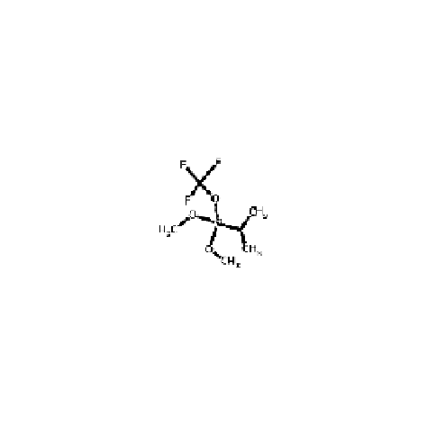 CO[Si](OC)(OC(F)(F)F)C(C)C